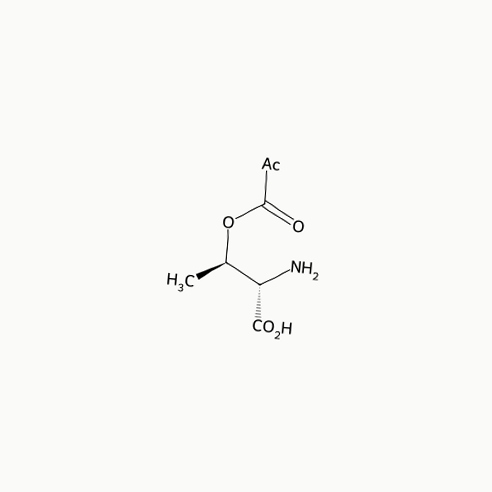 CC(=O)C(=O)O[C@H](C)[C@H](N)C(=O)O